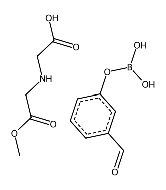 COC(=O)CNCC(=O)O.O=Cc1cccc(OB(O)O)c1